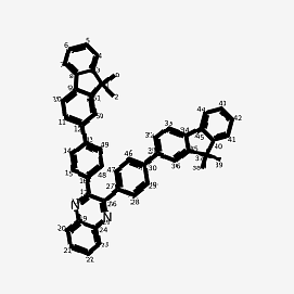 CC1(C)c2ccccc2-c2ccc(-c3ccc(-c4nc5ccccc5nc4-c4ccc(-c5ccc6c(c5)C(C)(C)c5ccccc5-6)cc4)cc3)cc21